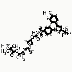 Cc1ccc(-c2cc(C(F)(F)F)nn2-c2ccc(S(=O)(=O)NC(=O)OC3CN([N+]([O-])=NOC(C)OC(=O)C(C)(C)C)C3)cc2)cc1